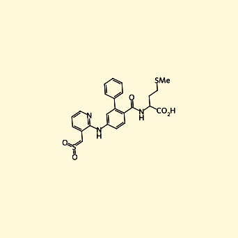 CSCCC(NC(=O)c1ccc(Nc2ncccc2C=S(=O)=O)cc1-c1ccccc1)C(=O)O